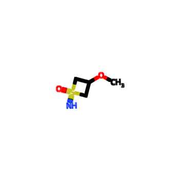 COC1CS(=N)(=O)C1